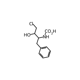 O=C(O)NC(Cc1ccccc1)C(O)CCl